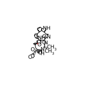 CC(C)[C@@H]1NC(=O)[C@@H](NC(=O)[C@H]2CCOC2)Cc2ccc3c(c2)C24c5cccc(c5NC2O3)-c2cccc3[nH]cc(c23)-c2cnc(o2)-c2nc1oc24